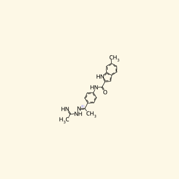 CC(=N)N/N=C(\C)c1ccc(NC(=O)c2cc3ccc(C)cc3[nH]2)cc1